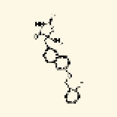 B[C@]1(Cc2ccc3cc(OCc4ccccc4F)ccc3c2)SC(=O)NC1=O